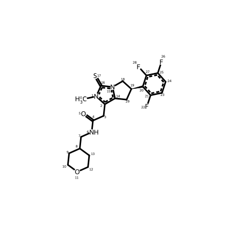 Cn1c(CC(=O)NCC2CCOCC2)c2n(c1=S)C[C@@H](c1c(F)ccc(F)c1F)C2